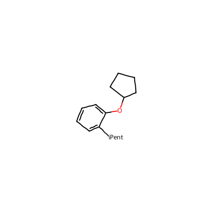 CCCC(C)c1ccccc1OC1CCCC1